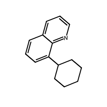 c1cnc2c(C3CCCCC3)cccc2c1